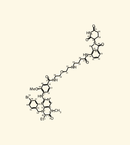 CC[C@@H]1C(=O)N(C)c2cnc(Nc3ccc(C(=O)NCCOCCNCCCC(=O)Nc4cccc5c4CN(C4CCC(=O)NC4=O)C5=O)cc3OC)nc2N1Cc1ccc(Br)cc1